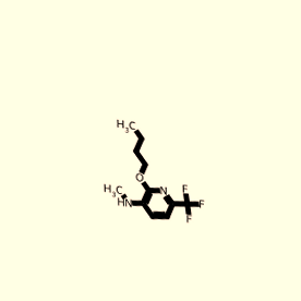 CCCCOc1nc(C(F)(F)F)ccc1NC